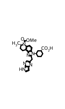 COC(=O)N1c2ccc3c(nc(Cc4cnc5[nH]ccc5n4)n3[C@@H]3CCC[C@@H](C(=O)O)C3)c2CC[C@@H]1C